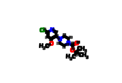 COc1cc(Cl)ncc1N1CCN(C(=O)OC(C)(C)C)CC1